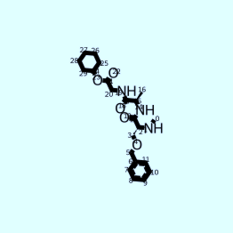 CN[C@H](COCc1ccccc1)C(=O)N[C@H](C)C(=O)NCC(=O)OC1CCCCC1